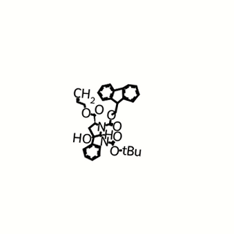 C=CCOC(=O)[C@@H]1C[C@@]2(O)c3ccccc3N(C(=O)OC(C)(C)C)[C@H]2N1C(=O)OCC1c2ccccc2-c2ccccc21